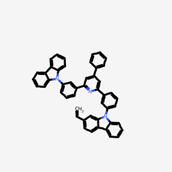 C=Cc1ccc2c3ccccc3n(-c3cccc(-c4cc(-c5ccccc5)cc(-c5cccc(-n6c7ccccc7c7ccccc76)c5)n4)c3)c2c1